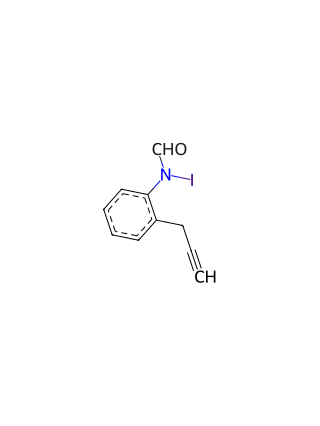 C#CCc1ccccc1N(I)C=O